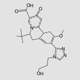 COC1=C(c2nncn2CCCO)C=C2CC(C(C)(C)C)n3cc(C(=O)O)c(=O)cc3C2C1